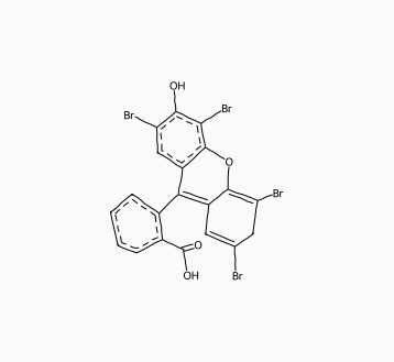 O=C(O)c1ccccc1C1=C2C=C(Br)CC(Br)=C2Oc2c1cc(Br)c(O)c2Br